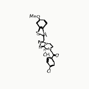 COc1ccc2nc(-c3nnc4n3CCN(C(=O)c3ccc(Cl)cc3)[C@@H]4C)sc2c1